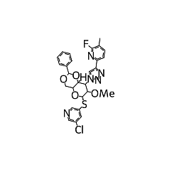 COC1C(n2cc(-c3ccc(C)c(F)n3)nn2)[C@H]2OC(c3ccccc3)OCC2O[C@@H]1Sc1cncc(Cl)c1